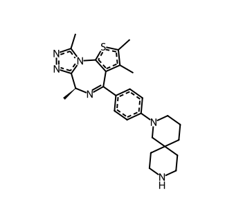 Cc1sc2c(c1C)C(c1ccc(N3CCCC4(CCNCC4)C3)cc1)=N[C@@H](C)c1nnc(C)n1-2